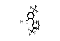 Cc1ccc(C(F)(F)F)cc1-c1cc(C(F)(F)F)ncn1